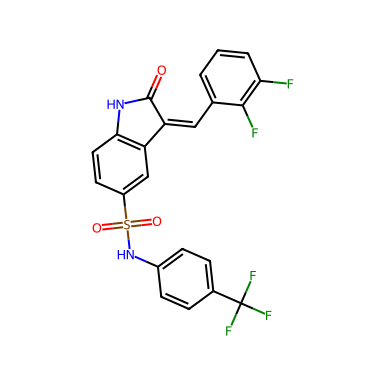 O=C1Nc2ccc(S(=O)(=O)Nc3ccc(C(F)(F)F)cc3)cc2C1=Cc1cccc(F)c1F